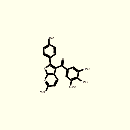 COc1ccc(-c2oc3nc(OC)ccc3c2C(=O)c2cc(OC)c(OC)c(OC)c2)cc1